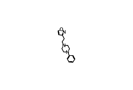 c1ccc(N2CCN(CCc3ccon3)CC2)cc1